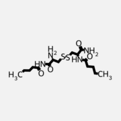 CCCCC(=O)NC(=O)[C@@H](N)CSSCC(NC(=O)CCCC)C(N)=O